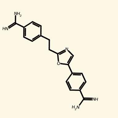 N=C(N)c1ccc(CCc2ncc(-c3ccc(C(=N)N)cc3)o2)cc1